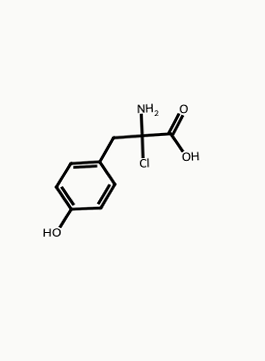 NC(Cl)(Cc1ccc(O)cc1)C(=O)O